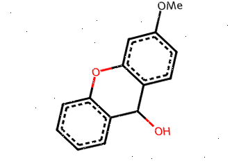 COc1ccc2c(c1)Oc1ccccc1C2O